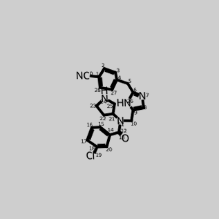 N#Cc1ccc(Cc2ncc(CN(C(=O)c3cccc(Cl)c3)C3CCNC3)[nH]2)cc1